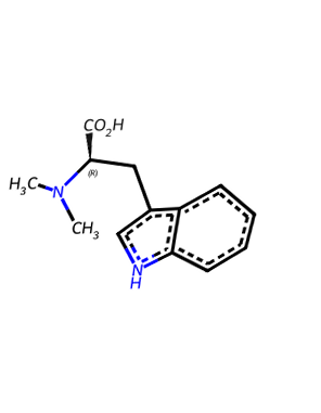 CN(C)[C@H](Cc1c[nH]c2ccccc12)C(=O)O